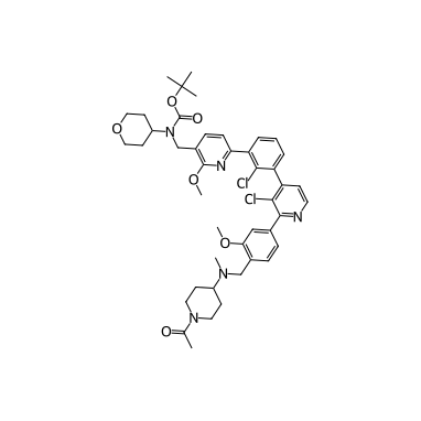 COc1cc(-c2nccc(-c3cccc(-c4ccc(CN(C(=O)OC(C)(C)C)C5CCOCC5)c(OC)n4)c3Cl)c2Cl)ccc1CN(C)C1CCN(C(C)=O)CC1